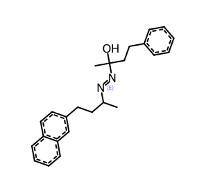 CC(CCc1ccc2ccccc2c1)/N=N/C(C)(O)CCc1ccccc1